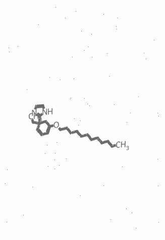 CCCCCCCCCCCCOC1=CC=CC(CC)(c2ncc[nH]2)C1